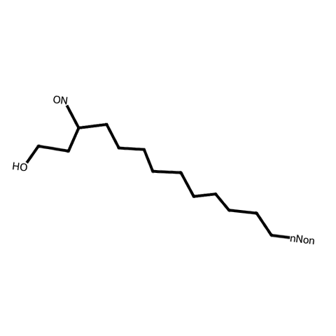 CCCCCCCCCCCCCCCCCCCC(CCO)N=O